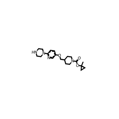 CC1(OC(=O)N2CCC(COc3ccc(N4CCNCC4)nc3)CC2)CC1